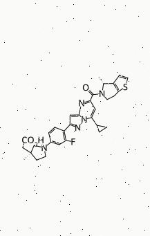 C[C@@H]1c2ccsc2CCN1C(=O)c1cc(C2CC2)n2nc(-c3ccc(N4CC[C@@](C)(CC(=O)O)C4)cc3F)cc2n1